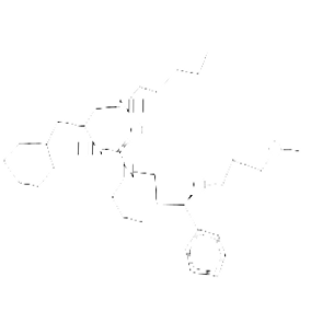 CCCCCNCC(CC1CCCCC1)NC(=O)N1CCC[C@@H]([C@@H](OCCCOC)c2ccccc2)C1